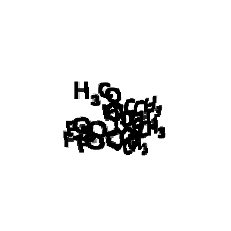 COC(=O)C(OC(C)(C)C)c1c(C)ccc(OS(=O)(=O)C(F)(F)F)c1-c1ccc(OC)cc1